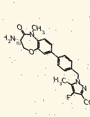 Cc1c(F)c(C(=O)O)nn1Cc1ccc(-c2ccc3c(c2)OC[C@H](N)C(=O)N3C)cc1